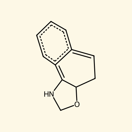 C1=c2ccccc2=C2NCOC2C1